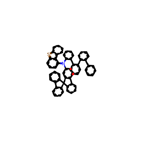 c1ccc(-c2ccccc2-c2ccccc2-c2ccccc2N(c2ccc3c(c2)C2(c4ccccc4-c4ccccc42)c2ccccc2-3)c2cccc3sc4ccccc4c23)cc1